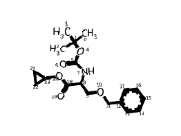 CC(C)(C)OC(=O)NC(COCc1ccccc1)C(=O)OC1CC1